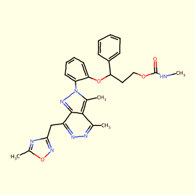 CNC(=O)OCCC(Oc1ccccc1-n1nc2c(Cc3noc(C)n3)nnc(C)c2c1C)c1ccccc1